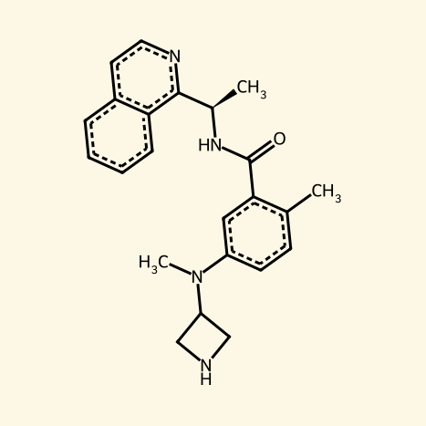 Cc1ccc(N(C)C2CNC2)cc1C(=O)N[C@H](C)c1nccc2ccccc12